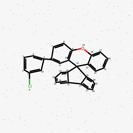 Clc1cccc(-c2ccc3c(c2)C2(c4ccccc4O3)c3ccccc3-c3ccccc32)c1